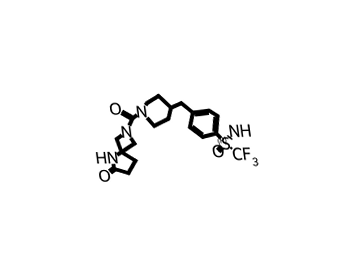 N=[S@@](=O)(c1ccc(CC2CCN(C(=O)N3CC4(CCC(=O)N4)C3)CC2)cc1)C(F)(F)F